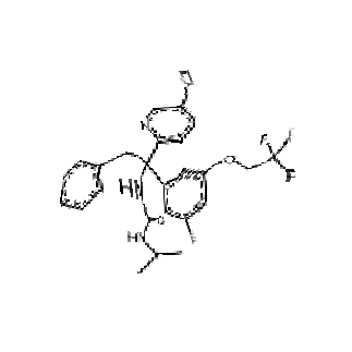 CC(C)NC(=O)NC(Cc1ccccc1)(c1cc(F)cc(OCC(F)(F)F)c1)c1ccc(Cl)cn1